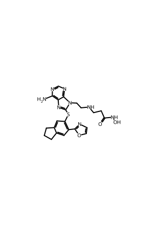 Nc1ncnc2c1nc(Sc1cc3c(cc1-c1ncco1)CCC3)n2CCNCCC(=O)NO